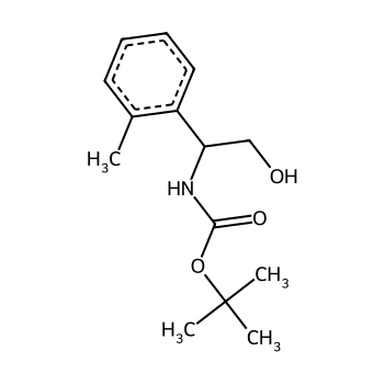 Cc1ccccc1C(CO)NC(=O)OC(C)(C)C